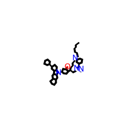 C=N/C(=N\C=C/c1c(/C=C/C=N/C=C\C=C/C=C/C)oc2cc(-n3c4ccc(-c5ccccc5)cc4c4cc5ccccc5cc43)ccc12)c1ccccc1